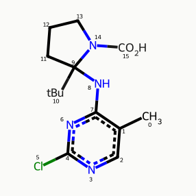 Cc1cnc(Cl)nc1NC1(C(C)(C)C)CCCN1C(=O)O